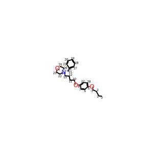 CCCCOc1ccc(OCCCC[N+]2(Cc3ccccc3)CCOCC2)cc1